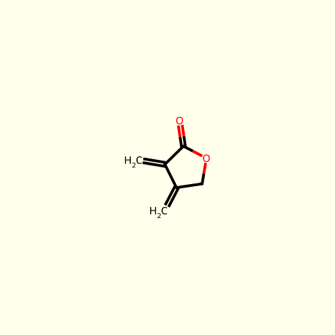 C=C1COC(=O)C1=C